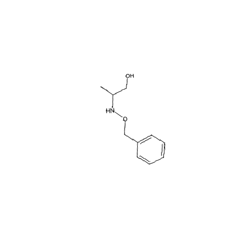 CC(CO)NOCc1ccccc1